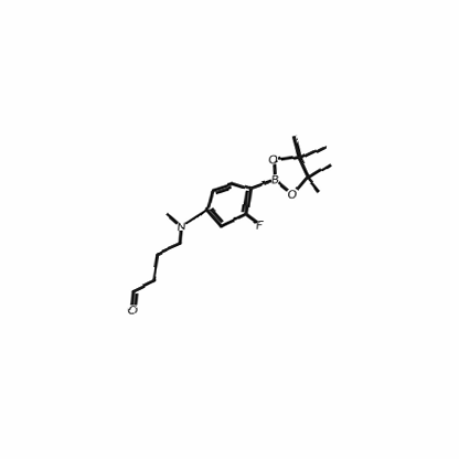 CN(CCCC=O)c1ccc(B2OC(C)(C)C(C)(C)O2)c(F)c1